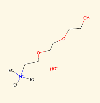 CC[N+](CC)(CC)CCOCCOCCO.[OH-]